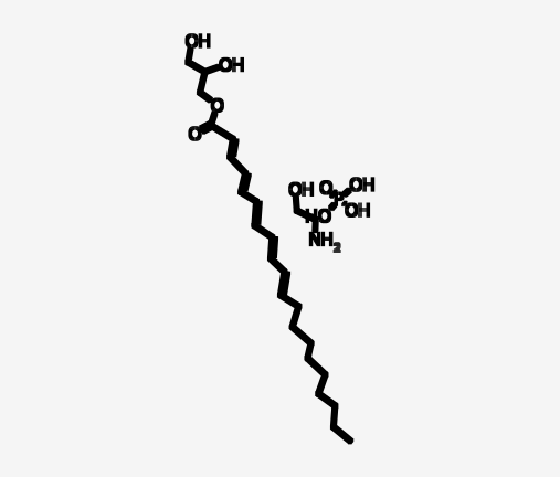 CCCCCCCCCC=CC=CC=CC=CC=CC(=O)OCC(O)CO.NCCO.O=P(O)(O)O